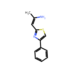 CC(N)=Cc1nc(-c2ccccc2)cs1